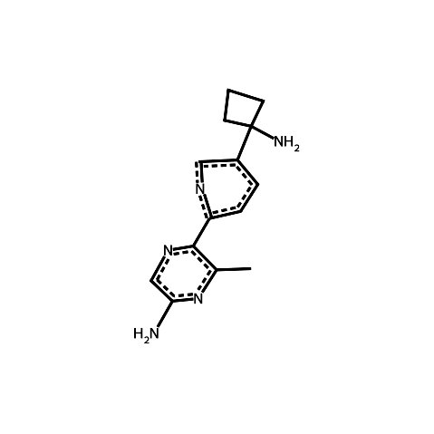 Cc1nc(N)cnc1-c1ccc(C2(N)CCC2)cn1